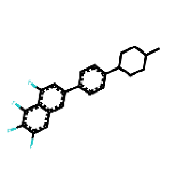 CC1CCC(c2ccc(-c3cc(F)c4c(F)c(F)c(F)cc4c3)cc2)CC1